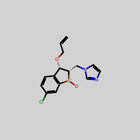 C=CCO[C@H]1c2ccc(Cl)cc2[S+]([O-])[C@H]1Cn1ccnc1